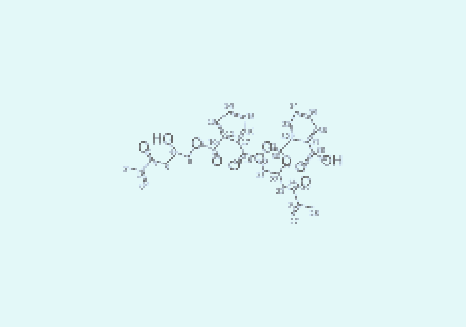 C=C(C)C(=O)CC(O)COC(=O)c1ccccc1C(=O)OCC(CC(=O)C(=C)C)OC(=O)c1ccccc1C(=O)O